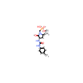 CCOP(=O)(O)CN1C(=O)[C@@H](NC(=O)Nc2ccc(C(F)(F)F)cc2)CC1C